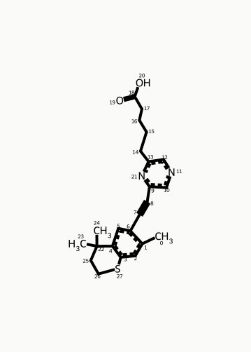 Cc1cc2c(cc1C#Cc1cncc(CCCCC(=O)O)n1)C(C)(C)CCS2